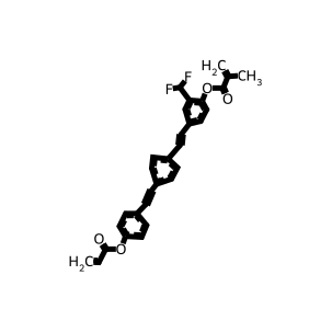 C=CC(=O)Oc1ccc(C#Cc2ccc(C#Cc3ccc(OC(=O)C(=C)C)c(C(F)F)c3)cc2)cc1